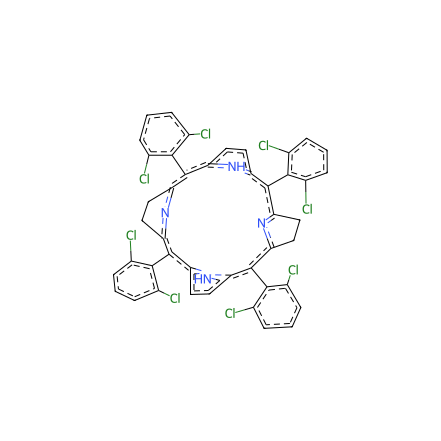 Clc1cccc(Cl)c1-c1c2nc(c(-c3c(Cl)cccc3Cl)c3ccc([nH]3)c(-c3c(Cl)cccc3Cl)c3nc(c(-c4c(Cl)cccc4Cl)c4ccc1[nH]4)CC3)CC2